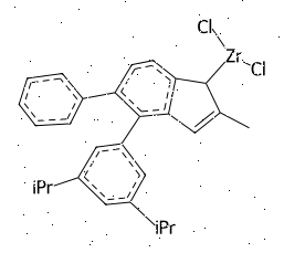 CC1=Cc2c(ccc(-c3ccccc3)c2-c2cc(C(C)C)cc(C(C)C)c2)[CH]1[Zr]([Cl])[Cl]